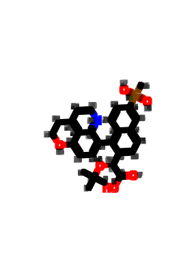 CC(C)(C)O[C@H](C(=O)O)c1ccc2cc(S(C)(=O)=O)ccc2c1-c1ccc2c3c(ccnc13)CCO2